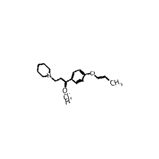 CCCOc1ccc(C(=O)CCN2CCCCC2)cc1.[Cl-].[H+]